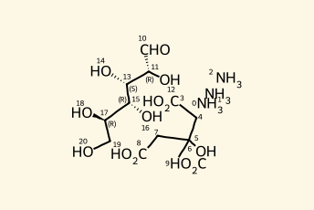 N.N.N.O=C(O)CC(O)(CC(=O)O)C(=O)O.O=C[C@H](O)[C@@H](O)[C@H](O)[C@H](O)CO